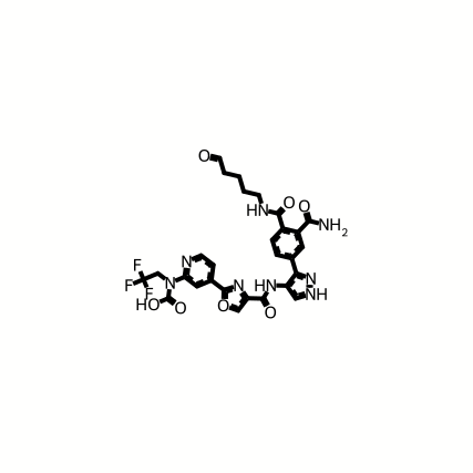 NC(=O)c1cc(-c2n[nH]cc2NC(=O)c2coc(-c3ccnc(N(CC(F)(F)F)C(=O)O)c3)n2)ccc1C(=O)NCCCCC=O